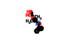 Cc1cc(-c2noc(CCC3(c4ccccc4)CCCCC3)n2)cc(C)c1OC[C@H](O)CO